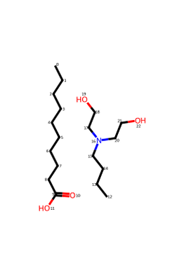 CCCCCCCCCC(=O)O.CCCCN(CCO)CCO